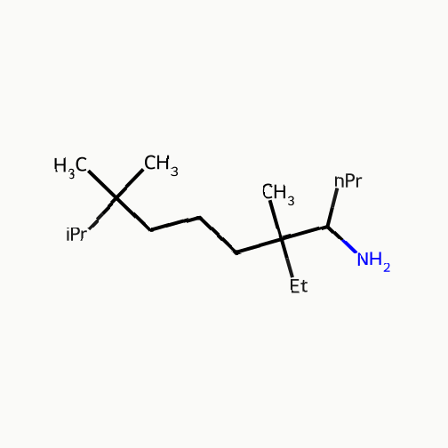 CCCC(N)C(C)(CC)CCCC(C)(C)C(C)C